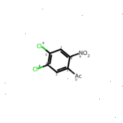 CC(=O)c1cc(Cl)c(Cl)cc1[N+](=O)[O-]